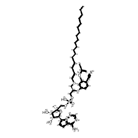 CCCCCCCCCCCCCCCCCCOC[C@H](COP(=O)(O)OC[C@@]1(C)O[C@@H](c2ccc3c(N)ncnn23)[C@H](O)[C@@H]1O)Oc1ccc(C#N)c(OC(C)C)c1